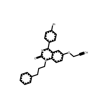 C#CCOc1ccc2c(c1)c(-c1ccc(C(C)C)cc1)nc(=O)n2CCCc1ccccc1